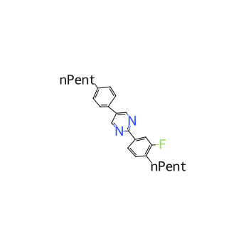 CCCCCc1ccc(-c2cnc(-c3ccc(CCCCC)c(F)c3)nc2)cc1